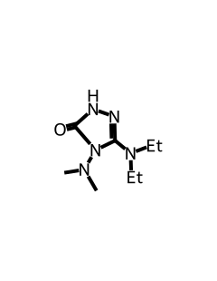 CCN(CC)c1n[nH]c(=O)n1N(C)C